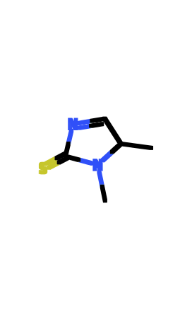 CC1C=NC(=S)N1C